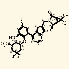 Cc1cc(Cl)cc(-c2ncnn3cc(CN4C(=O)C5C(C4=O)C5(C)C)cc23)c1O[C@@H]1CN(C(=O)O)CC(F)(F)C1